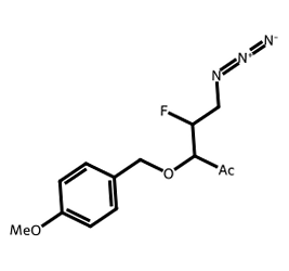 COc1ccc(COC(C(C)=O)C(F)CN=[N+]=[N-])cc1